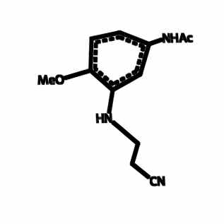 COc1ccc(NC(C)=O)cc1NCCC#N